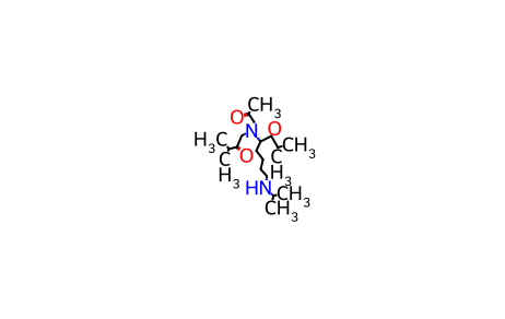 CC(=O)CN(CC(=O)C(C)C)C(CCCCNC(C)C)C(=O)C(C)C